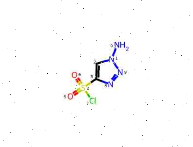 Nn1cc(S(=O)(=O)Cl)nn1